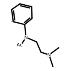 CC(=O)N(CCN(C)C)c1[c]cccc1